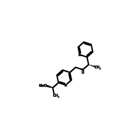 CO[C@H](C)c1ccc(CN[C@@H](C)c2ccccn2)cn1